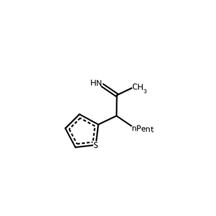 CCCCCC(C(C)=N)c1cccs1